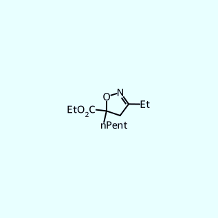 CCCCCC1(C(=O)OCC)CC(CC)=NO1